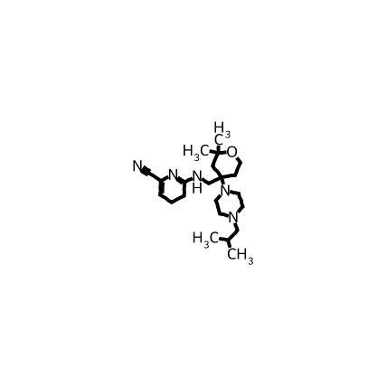 CC(C)CN1CCN(C2(CNC3=NC(C#N)=CCC3)CCOC(C)(C)C2)CC1